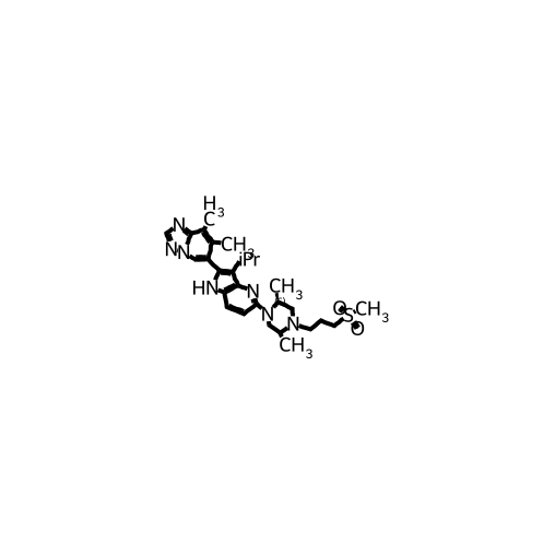 Cc1c(-c2[nH]c3ccc(N4CC(C)N(CCCS(C)(=O)=O)C[C@@H]4C)nc3c2C(C)C)cn2ncnc2c1C